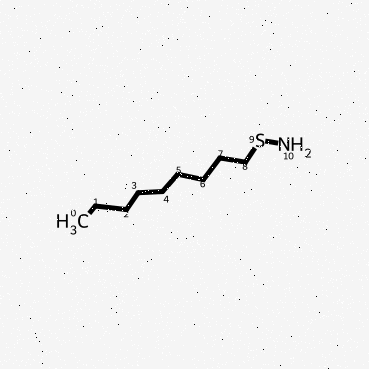 CCCCCCCCCSN